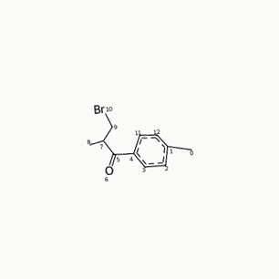 Cc1ccc(C(=O)C(C)CBr)cc1